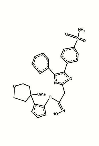 COC1(c2sccc2OC(Cc2nc(-c3ccccc3)c(-c3ccc(S(N)(=O)=O)cc3)o2)=NO)CCOCC1